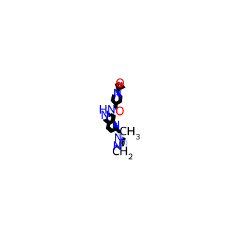 C=N/C=C\N=C(/C)c1ccc2cnc(NC(=O)C3CCN(C4COC4)CC3)cc2n1